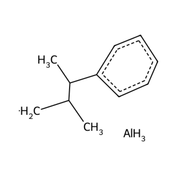 [AlH3].[CH2]C(C)C(C)c1ccccc1